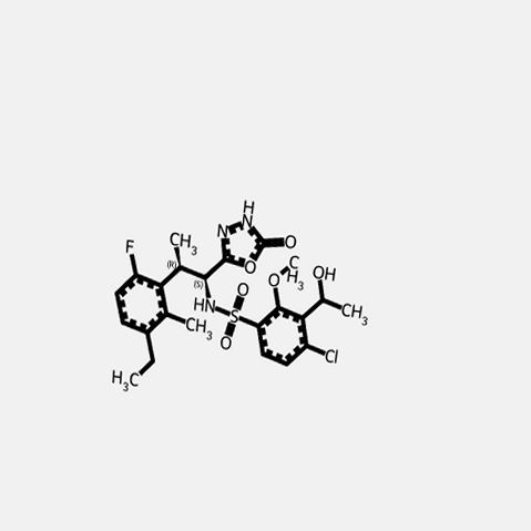 CCc1ccc(F)c([C@@H](C)[C@H](NS(=O)(=O)c2ccc(Cl)c(C(C)O)c2OC)c2n[nH]c(=O)o2)c1C